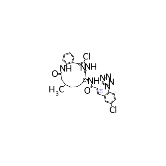 CC1CCC[C@H](NC(=O)/C=C/c2cc(Cl)ccc2-n2cnnn2)c2nc(c(Cl)[nH]2)-c2ccccc2NC(=O)C1